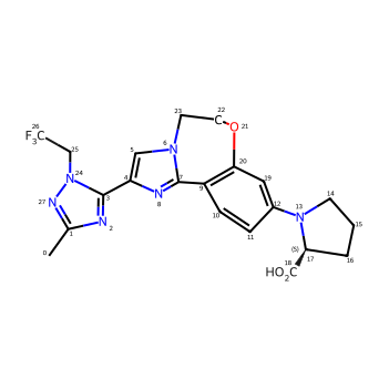 Cc1nc(-c2cn3c(n2)-c2ccc(N4CCC[C@H]4C(=O)O)cc2OCC3)n(CC(F)(F)F)n1